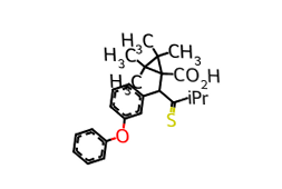 CC(C)C(=S)C(c1cccc(Oc2ccccc2)c1)C1(C(=O)O)C(C)(C)C1(C)C